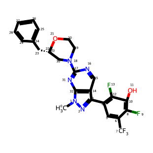 Cn1nc(-c2cc(C(F)(F)F)c(F)c(O)c2F)c2cnc(N3CCO[C@@H](Cc4ccccc4)C3)nc21